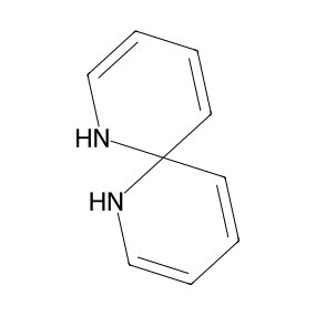 C1=CNC2(C=C1)C=CC=CN2